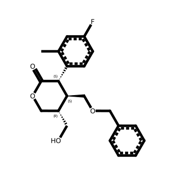 Cc1cc(F)ccc1[C@H]1C(=O)OC[C@@H](CO)[C@@H]1COCc1ccccc1